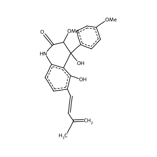 C=C(C)/C=C/c1ccc2c(c1O)C(O)(c1ccc(OC)cc1)C(OC)C(=O)N2